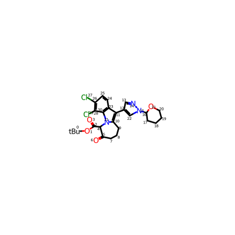 CC(C)(C)OC(=O)C1C(=O)CCCc2c(-c3cnn(C4CCCCO4)c3)c3ccc(Cl)c(Cl)c3n21